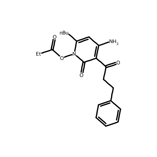 CCCCc1cc(N)c(C(=O)CCc2ccccc2)c(=O)n1OC(=O)CC